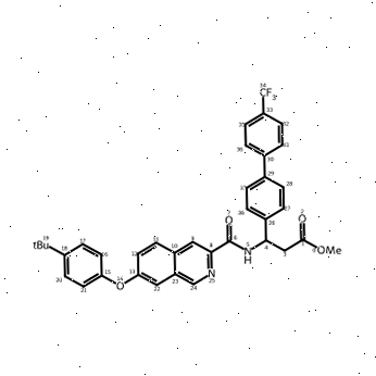 COC(=O)CC(NC(=O)c1cc2ccc(Oc3ccc(C(C)(C)C)cc3)cc2cn1)c1ccc(-c2ccc(C(F)(F)F)cc2)cc1